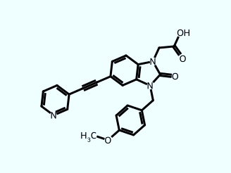 COc1ccc(Cn2c(=O)n(CC(=O)O)c3ccc(C#Cc4cccnc4)cc32)cc1